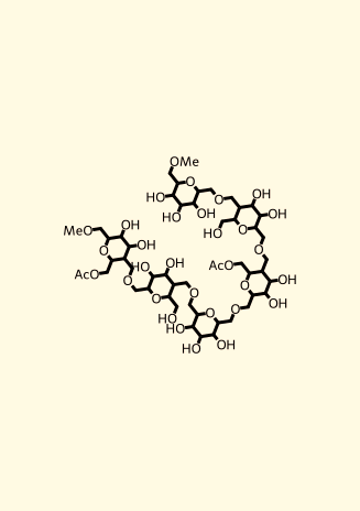 COCC1OC(COCC2C(CO)OC(COCC3C(COC(C)=O)OC(COCC4OC(COCC5C(CO)OC(COCC6C(COC(C)=O)OC(COC)C(O)C6O)C(O)C5O)C(O)C(O)C4O)C(O)C3O)C(O)C2O)C(O)C(O)C1O